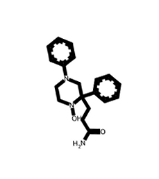 NC(=O)CCC1(c2ccccc2)CN(c2ccccc2)CCN1O